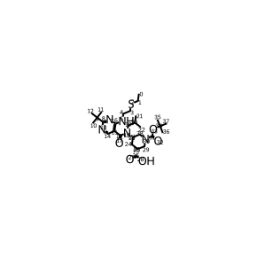 CCSCCNc1nc(C(C)(C)C)ncc1C(=O)N(CC(C)C)[C@H]1C[C@@H](C(=O)O)CN(C(=O)OC(C)(C)C)C1